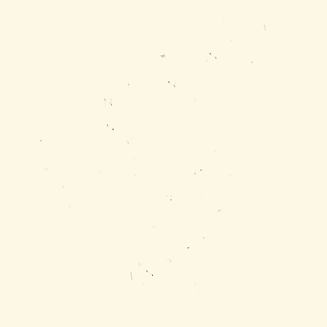 CC(C)S(=O)(=O)N1CCN(c2cnn(-c3cccc(Cl)c3)c(=O)c2OCC2(c3ccc(C(N)=O)cc3)CC2)CC1